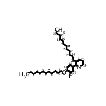 CCCCCCCCCCCCOc1ccc(-c2ncccc2CCCCCCCCCCCC)cc1F